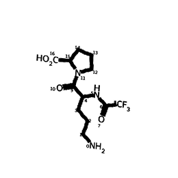 NCCCC(NC(=O)C(F)(F)F)C(=O)N1CCCC1C(=O)O